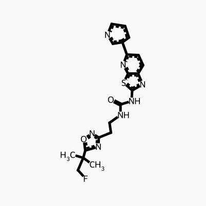 CC(C)(CF)c1nc(CCNC(=O)Nc2nc3ccc(-c4cccnc4)nc3s2)no1